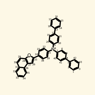 c1ccc(-c2ccc(N(c3ccc(-c4ccccc4)cc3)c3ccc(-c4cc5c(ccc6ccccc65)o4)cc3)cc2)cc1